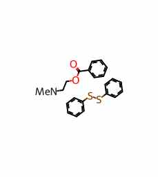 CNCCOC(=O)c1ccccc1.c1ccc(SSc2ccccc2)cc1